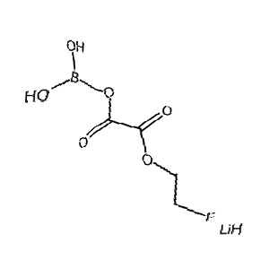 O=C(OCCF)C(=O)OB(O)O.[LiH]